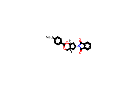 COc1ccc(C2OC[C@@H]3C[C@@H](N4C(=O)c5ccccc5C4=O)C[C@@H]3O2)cc1